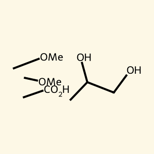 CC(=O)O.CC(O)CO.COC.COC